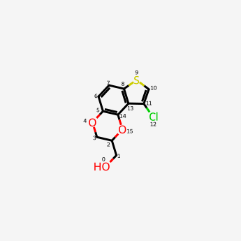 OCC1COc2ccc3scc(Cl)c3c2O1